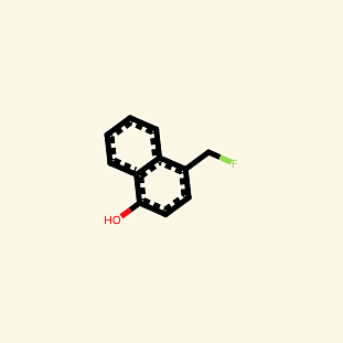 Oc1ccc(CF)c2ccccc12